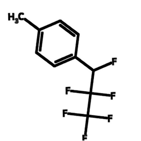 Cc1ccc(C(F)C(F)(F)C(F)(F)F)cc1